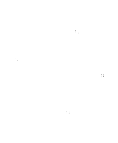 CN(C)c1ccc2c(N(C)C)cc3c(N(C)C)cc(N(C)C)c4ccc1c2c43